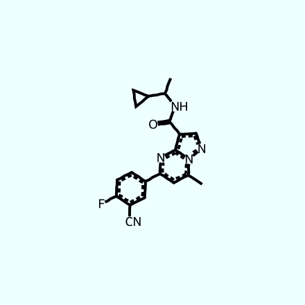 Cc1cc(-c2ccc(F)c(C#N)c2)nc2c(C(=O)NC(C)C3CC3)cnn12